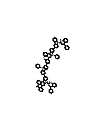 C=c1c2ccccc2c2cc3c(c4cccc1c24)c1cc(-c2ccc4c(c2)c2ccc(-c5ccc6c(c5)Sc5cccc7c5c-6cc5c7c6ccc(-c7ccc8c(c7)c7ccccc7n8-c7cc(-c8ccccc8)c8ccccc8n7)cc6n5-c5ccccc5)cc2n4-c2ccccc2)ccc1n3-c1nc(-c2ccccc2)c2ccccc2n1